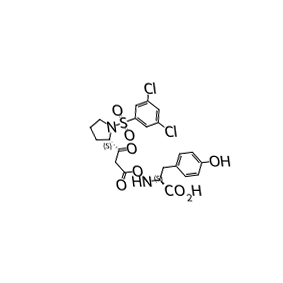 O=C(CC(=O)[C@@H]1CCCN1S(=O)(=O)c1cc(Cl)cc(Cl)c1)ON[C@@H](Cc1ccc(O)cc1)C(=O)O